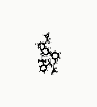 O=C(c1ccccc1C(F)(F)F)N(Cc1cccc(-c2ccc3ncnc(NC4CC4)c3c2)c1)C1CC1